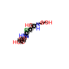 OCCOCCNCc1ccc(-c2ccc(-c3cc4nc(O[C@@H]5CO[C@H]6[C@@H]5OC[C@H]6O)[nH]c4cc3Cl)cc2)c(O)c1